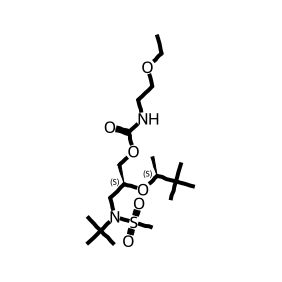 CCOCCNC(=O)OC[C@H](CN(C(C)(C)C)S(C)(=O)=O)O[C@@H](C)C(C)(C)C